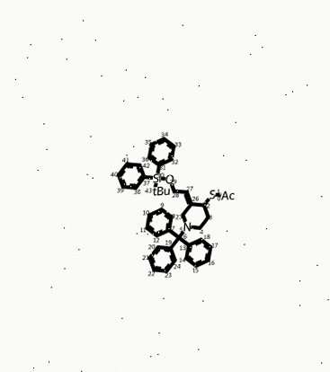 CC(=O)SC1CCN(C(c2ccccc2)(c2ccccc2)c2ccccc2)C/C1=C\CO[Si](c1ccccc1)(c1ccccc1)C(C)(C)C